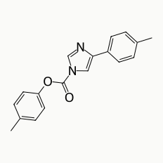 Cc1ccc(OC(=O)n2cnc(-c3ccc(C)cc3)c2)cc1